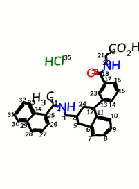 C[C@@H](NCC1Cc2ccccc2C(c2cccc(C(=O)NCC(=O)O)c2)C1)c1cccc2ccccc12.Cl